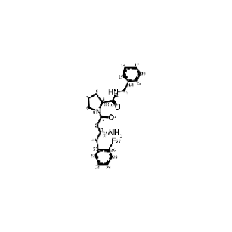 N[C@@H](CC(=O)N1CCC[C@H]1C(=O)NCc1ccccc1)Cc1ccccc1F